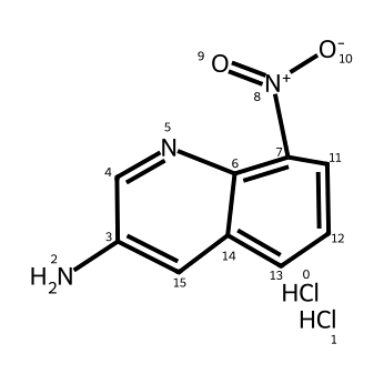 Cl.Cl.Nc1cnc2c([N+](=O)[O-])cccc2c1